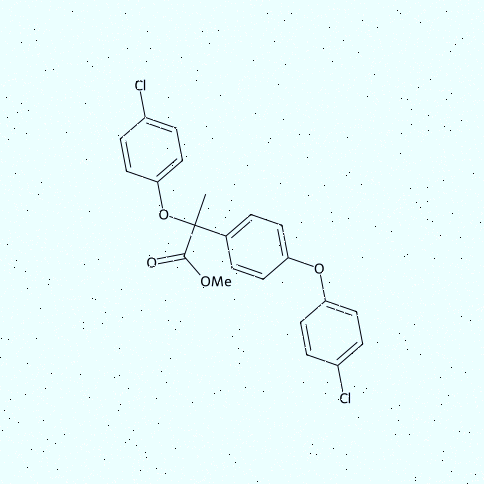 COC(=O)C(C)(Oc1ccc(Cl)cc1)c1ccc(Oc2ccc(Cl)cc2)cc1